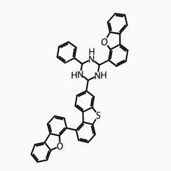 c1ccc(C2NC(c3ccc4c(c3)sc3cccc(-c5cccc6c5oc5ccccc56)c34)NC(c3cccc4c3oc3ccccc34)N2)cc1